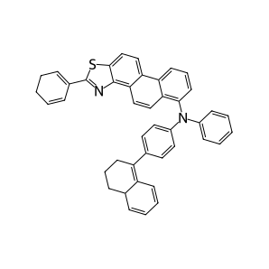 C1=CC2=C(c3ccc(N(c4ccccc4)c4cccc5c4ccc4c5ccc5sc(C6=CCCC=C6)nc54)cc3)CCCC2C=C1